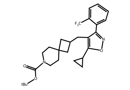 CC(C)(C)OC(=O)N1CCC2(CC1)CC(Cc1c(-c3ccccc3C(F)(F)F)noc1C1CC1)C2